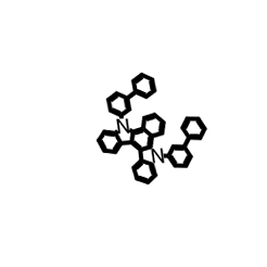 c1ccc(-c2cccc(-n3c4ccccc4c4c5c6ccccc6n(-c6cccc(-c7ccccc7)c6)c5c5ccccc5c43)c2)cc1